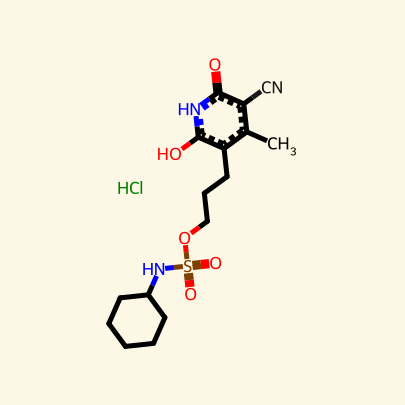 Cc1c(CCCOS(=O)(=O)NC2CCCCC2)c(O)[nH]c(=O)c1C#N.Cl